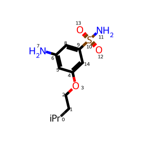 CC(C)CCOc1cc(N)cc(S(N)(=O)=O)c1